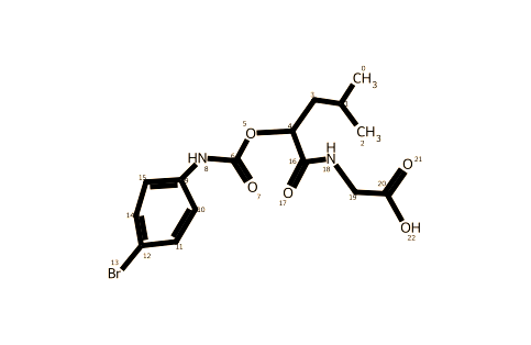 CC(C)CC(OC(=O)Nc1ccc(Br)cc1)C(=O)NCC(=O)O